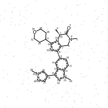 C[C@H]1C(=O)N(C)Cc2c(-c3ccc4c(c3)c(-c3cnn(C)c3)nn4C)nc(C3CCOCC3)n21